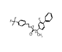 C[C@@H](C(=O)OCCc1ccc(C(F)(F)F)cc1)c1ccc(-c2ccccc2)c(F)c1